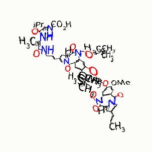 CC=CC1=CN2C(=O)c3cc(OC)c(OCCCOc4cc5c(cc4OC)C(=O)N4C=C(C=CCNC(=O)[C@H](C)NC(=O)[C@@H](NC(=O)O)C(C)C)C[C@H]4C(=O)N5COCC[Si](C)(C)C)cc3N(COCC[Si](C)(C)C)C(=O)[C@@H]2C1